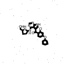 O=C(c1ccc(Oc2ccccc2)cc1Cl)c1c[nH]c2ncnc(NC3CCC(CO)N3)c12